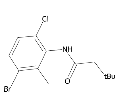 Cc1c(Br)ccc(Cl)c1NC(=O)CC(C)(C)C